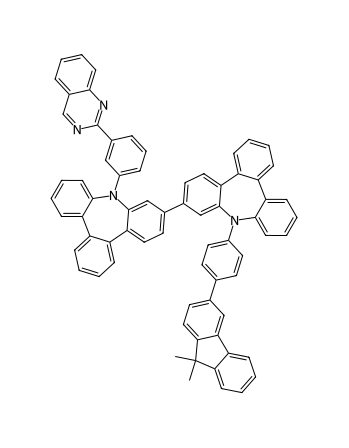 CC1(C)c2ccccc2-c2cc(-c3ccc(N4c5ccccc5-c5ccccc5-c5ccc(-c6ccc7c(c6)N(c6cccc(-c8ncc9ccccc9n8)c6)c6ccccc6-c6ccccc6-7)cc54)cc3)ccc21